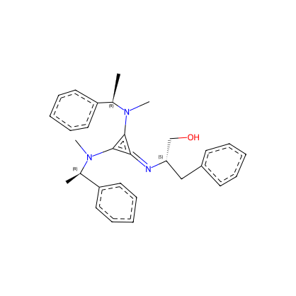 C[C@H](c1ccccc1)N(C)c1c(N(C)[C@H](C)c2ccccc2)c1=N[C@H](CO)Cc1ccccc1